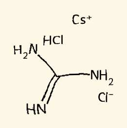 Cl.N=C(N)N.[Cl-].[Cs+]